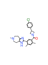 Cc1cc(C)c(-c2nc3c([nH]2)CCN(C)CC3)cc1C(=O)N1CC(c2ccc(Cl)cc2)C1